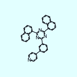 c1cc(-c2ccncc2)cc(-c2nc(-c3cccc4ccccc34)nc(-c3cccc4ccccc34)n2)c1